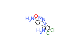 CN(c1ncnc2c(C(N)=O)cccc12)C(C)(CN)c1ccc(Cl)c(Cl)c1